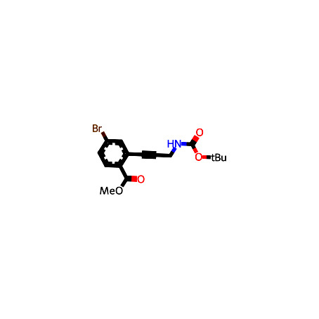 COC(=O)c1ccc(Br)cc1C#CCNC(=O)OC(C)(C)C